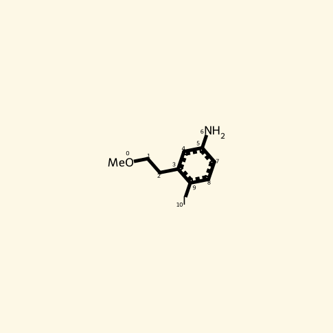 COCCc1cc(N)ccc1I